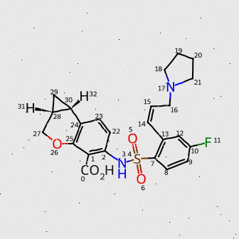 O=C(O)c1c(NS(=O)(=O)c2ccc(F)cc2/C=C\CN2CCCC2)ccc2c1OC[C@@H]1C[C@H]21